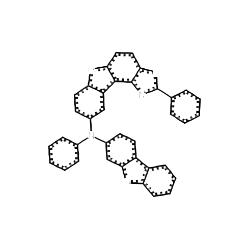 c1ccc(-c2nc3c(ccc4oc5ccc(N(c6ccccc6)c6ccc7c(c6)oc6ccccc67)cc5c43)s2)cc1